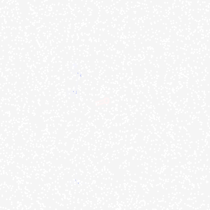 O=C(CCc1c[nH]c2ccc(F)cc12)N/N=C/c1ccccc1